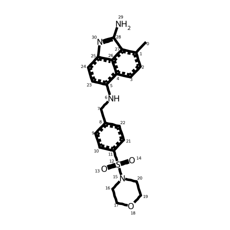 Cc1ccc2c(NCc3ccc(S(=O)(=O)N4CCOCC4)cc3)ccc3c2c1C(N)=N3